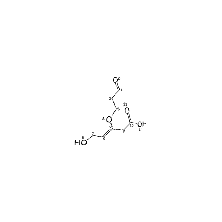 O=CCCO/C(=C\CO)CC(=O)O